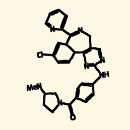 CNC1CCN(C(=O)c2ccc(Nc3ncc4c(n3)C3C=CC(Cl)=CC3C(c3ccccn3)=NC4)cc2)C1